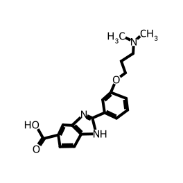 CN(C)CCCOc1cccc(-c2nc3cc(C(=O)O)ccc3[nH]2)c1